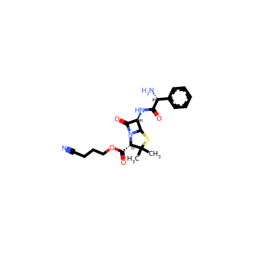 CC1(C)SC2[C@H](NC(=O)[C@H](N)c3ccccc3)C(=O)N2[C@H]1C(=O)OCCCC#N